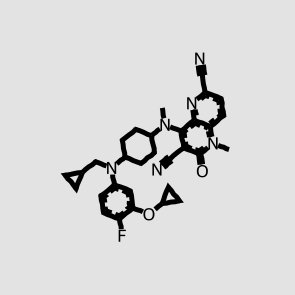 CN(c1c(C#N)c(=O)n(C)c2ccc(C#N)nc12)C1CCC(N(CC2CC2)c2ccc(F)c(OC3CC3)c2)CC1